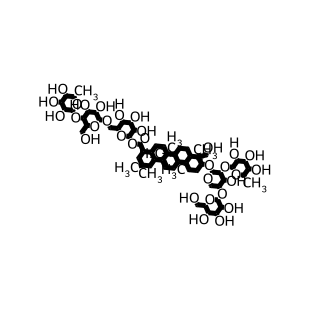 CC1OC(OC2C(CO)OC(OCC3OC(OC(=O)C4CC(C)(C)CC5C6=CCC7C8(C)CCC(OC9OCC(OC%10OC(CO)C(O)C(O)C%10O)C(O)C9OC9OC(C)C(O)C(O)C9O)[C@@](C)(CO)C8CCC7(C)[C@]6(C)CCC45)C(O)C(O)C3O)C(O)C2O)C(O)C(O)C1O